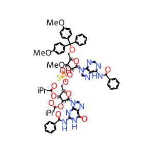 COc1ccc(C(OC[C@H]2O[C@@H](n3cnc4c(NC(=O)c5ccccc5)ncnc43)[C@H](OP(O)(=S)OC[C@H]3O[C@@H](n4cnc5c(=O)[nH]c(NC(=O)c6ccccc6)nc54)[C@H](OC(=O)C(C)C)[C@@H]3OC(=O)C(C)C)[C@@H]2OC)(c2ccccc2)c2ccc(OC)cc2)cc1